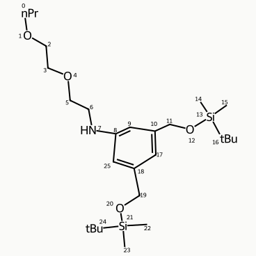 CCCOCCOCCNc1cc(CO[Si](C)(C)C(C)(C)C)cc(CO[Si](C)(C)C(C)(C)C)c1